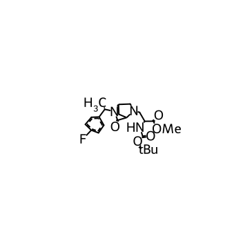 COC(=O)C(CN1CC2CC1C(=O)N2[C@@H](C)c1ccc(F)cc1)NC(=O)OC(C)(C)C